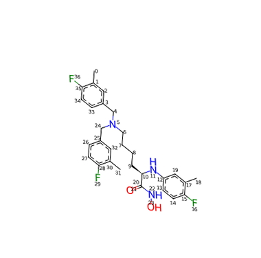 Cc1cc(CN(CCCC[C@@H](Nc2ccc(F)c(C)c2)C(=O)NO)Cc2ccc(F)c(C)c2)ccc1F